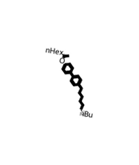 CCCCCC[C@@H](C)Oc1ccc(-c2ccc(CCCCCC[C@@H](C)CC)cc2)cc1